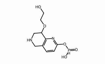 O=[PH](O)Oc1ccc2c(n1)C(OCCO)CNC2